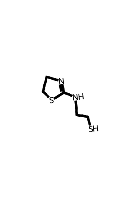 SCCNC1=NCCS1